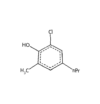 CCCc1cc(C)c(O)c(Cl)c1